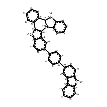 c1ccc2c(c1)NC1c3ccccc3-c3oc4ccc(-c5ccc(-c6ccc7oc8ccccc8c7c6)cc5)cc4c3N21